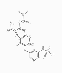 Cc1c(Cc2cccc(NS(N)(=O)=O)c2)c(=O)oc2cc(OC(=O)N(C)C)c(C(N)=O)cc12